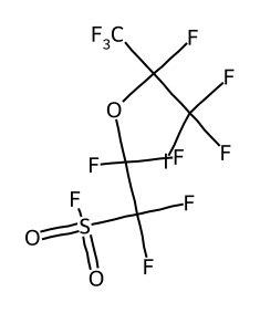 O=S(=O)(F)C(F)(F)C(F)(F)OC(F)(C(F)(F)F)C(F)(F)I